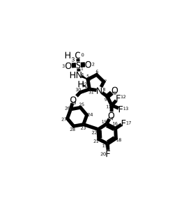 CS(=O)(=O)N[C@H]1CCN2C(=O)C(F)(F)Oc3c(F)cc(F)cc3C3CCC(CC3)OC[C@@H]12